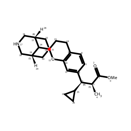 COC(=O)[C@@H](C)[C@H](c1ccc2c(c1)OC(C1[C@@H]3CNC[C@H]1COC3)CC2)C1CC1